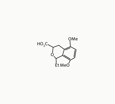 CCC1OC(C(=O)O)Cc2c(OC)ccc(OC)c21